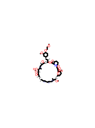 COCCO[C@@H]1CC[C@@H](C[C@H](C)C2CC(=O)[C@H](C)/C=C(\C)[C@@H](O)[C@@H](OC)C(=O)[C@@H](C)C[C@@H](C)/C=C/C=C/C=C(\C)[C@@H](OC)C[C@H]3CC[C@H](C)[C@](O)(O3)C(=O)C(=O)N3CCCC[C@@H]3C(=O)O2)C[C@H]1OC